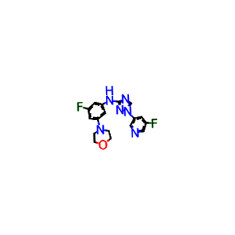 Fc1cc(Nc2ncn(-c3cncc(F)c3)n2)cc(N2CCOCC2)c1